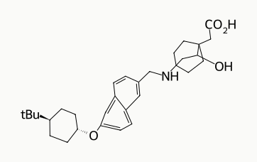 CC(C)(C)[C@H]1CC[C@H](Oc2ccc3cc(CNC45CCC(CC(=O)O)(CC4)C(O)C5)ccc3c2)CC1